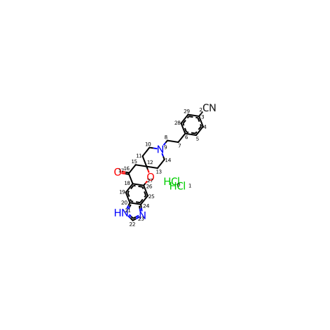 Cl.Cl.N#Cc1ccc(CCN2CCC3(CC2)CC(=O)c2cc4[nH]cnc4cc2O3)cc1